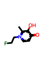 Cc1c(O)c(=O)ccn1CCF